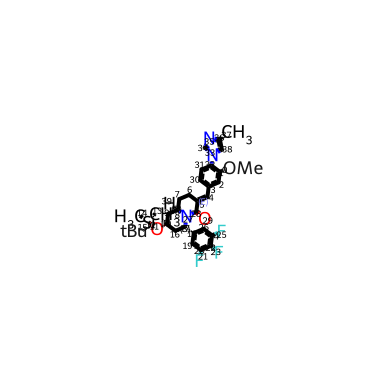 COc1cc(/C=C2\CC[C@@H]3C[C@@H](O[Si](C)(C)C(C)(C)C)C[C@@H](c4cc(F)c(F)c(F)c4)N3C2=O)ccc1-n1cnc(C)c1